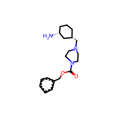 N[C@@H]1CCC[C@H](CN2CCN(C(=O)OCc3ccccc3)CC2)C1